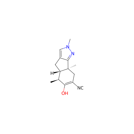 [C-]#[N+]C1=C(O)[C@@H](C)[C@@H]2Cc3cn(C)nc3[C@@]2(C)C1